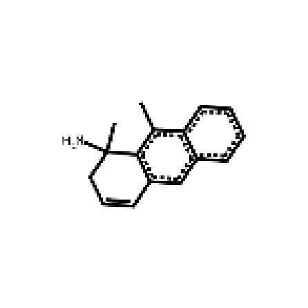 Cc1c2c(cc3ccccc13)C=CCC2(C)N